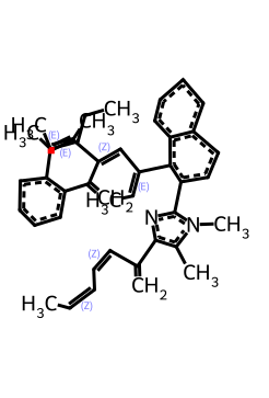 C=C(C(=C\C(=C/C)c1c(-c2nc(C(=C)/C=C\C=C/C)c(C)n2C)ccc2ccccc12)/C(C)=C/C)c1ccccc1/C(C)=C/CC